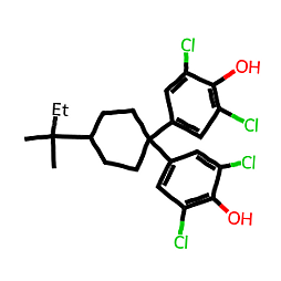 CCC(C)(C)C1CCC(c2cc(Cl)c(O)c(Cl)c2)(c2cc(Cl)c(O)c(Cl)c2)CC1